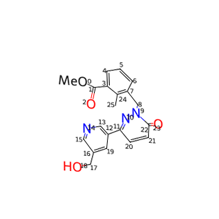 COC(=O)c1cccc(Cn2nc(-c3cncc(CO)c3)ccc2=O)c1C